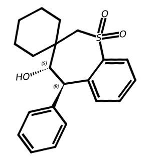 O=S1(=O)CC2(CCCCC2)[C@@H](O)[C@H](c2ccccc2)c2ccccc21